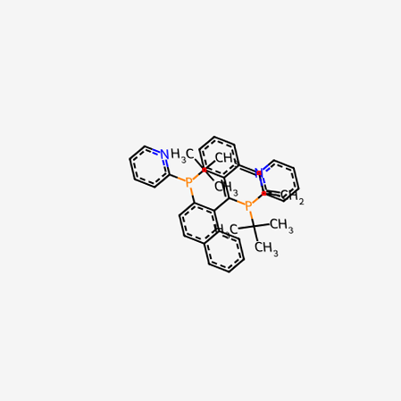 C=C/C=c1/cccc/c1=C(\c1c(P(c2ccccn2)C(C)(C)C)ccc2ccccc12)P(c1ccccn1)C(C)(C)C